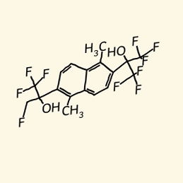 Cc1c(C(O)(CF)C(F)(F)F)ccc2c(C)c(C(O)(C(F)(F)F)C(F)(F)F)ccc12